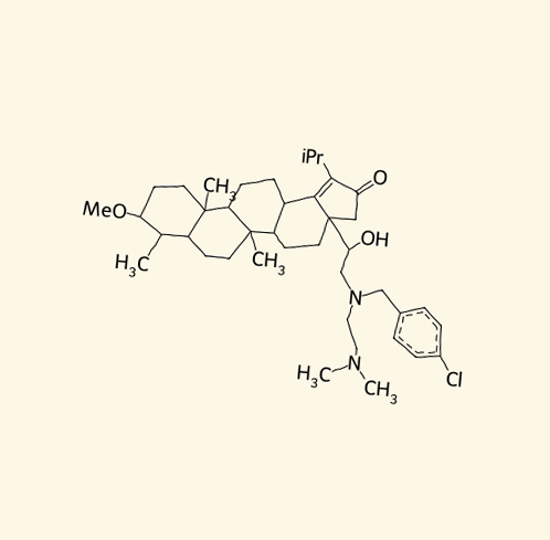 COC1CCC2(C)C(CCC3(C)C4CCC5(C(O)CN(CCN(C)C)Cc6ccc(Cl)cc6)CC(=O)C(C(C)C)=C5C4CCC32)C1C